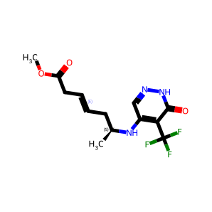 COC(=O)C/C=C/C[C@H](C)Nc1cn[nH]c(=O)c1C(F)(F)F